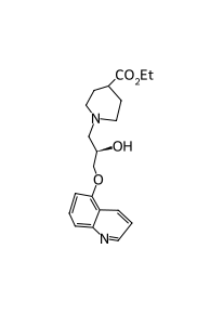 CCOC(=O)C1CCN(C[C@@H](O)COc2cccc3ncccc23)CC1